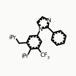 CC(C)Cc1cc(-n2ccnc2-c2ccccc2)cc(C(F)(F)F)c1C(C)C